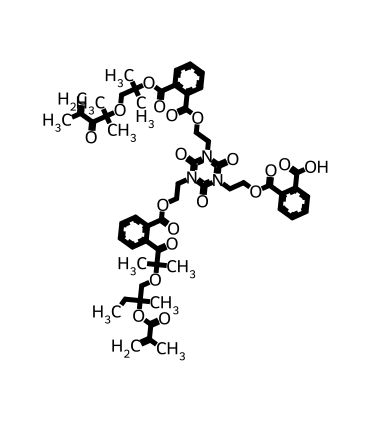 C=C(C)C(=O)OC(C)(CC)COC(C)(C)C(=O)c1ccccc1C(=O)OCCn1c(=O)n(CCOC(=O)c2ccccc2C(=O)O)c(=O)n(CCOC(=O)c2ccccc2C(=O)OC(C)(C)COC(C)(C)C(=O)C(=C)C)c1=O